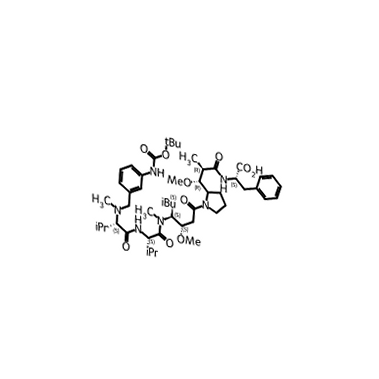 CC[C@H](C)[C@@H]([C@H](CC(=O)N1CCCC1[C@H](OC)[C@@H](C)C(=O)N[C@@H](Cc1ccccc1)C(=O)O)OC)N(C)C(=O)[C@@H](NC(=O)[C@H](C(C)C)N(C)Cc1cccc(NC(=O)OC(C)(C)C)c1)C(C)C